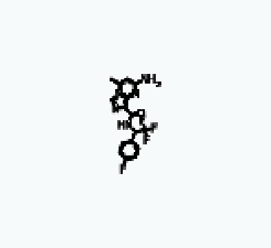 Cc1cc(N)nc2c(C(=O)NC(c3ccc(F)cc3)C(F)(F)F)ncn12